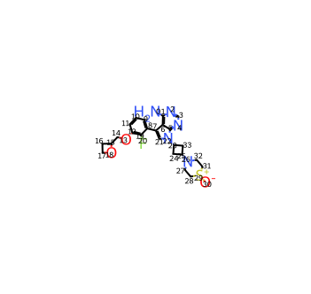 Nc1ncnc2c1c(-c1cccc(OCC3CCO3)c1F)cn2[C@H]1C[C@@H](N2CC[S+]([O-])CC2)C1